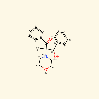 CC(C(=O)c1ccccc1)(C(O)c1ccccc1)N1CCOCC1